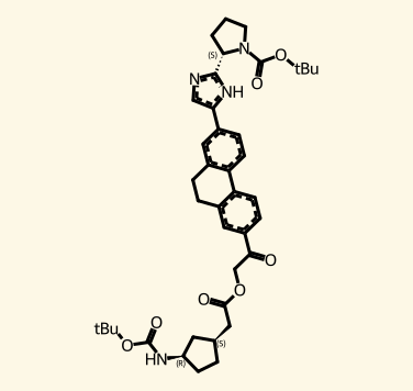 CC(C)(C)OC(=O)N[C@@H]1CC[C@H](CC(=O)OCC(=O)c2ccc3c(c2)CCc2cc(-c4cnc([C@@H]5CCCN5C(=O)OC(C)(C)C)[nH]4)ccc2-3)C1